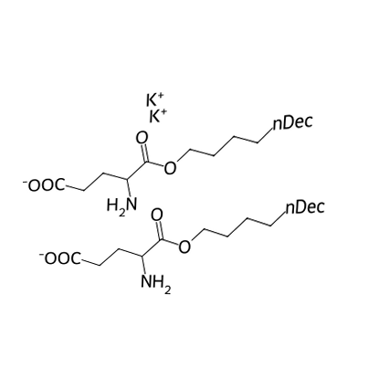 CCCCCCCCCCCCCCOC(=O)C(N)CCC(=O)[O-].CCCCCCCCCCCCCCOC(=O)C(N)CCC(=O)[O-].[K+].[K+]